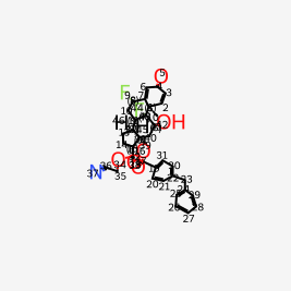 C[C@]12C=CC(=O)C=C1[C@@H](F)C[C@H]1[C@@H]3CC[C@](OC(=O)c4ccc(Cc5ccccc5)cc4)(C(=O)OCC#N)[C@@]3(C)C[C@H](O)[C@@]12F